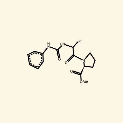 COC(=O)[C@@H]1CCCN1C(=O)C(NC(=O)Nc1ccccc1)C(C)C